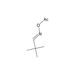 CC(=O)O/N=C/C(C)(C)C